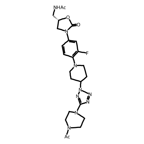 CC(=O)NC[C@H]1CN(c2ccc(N3CCC(n4nnc(N5CCN(C(C)=O)CC5)n4)CC3)c(F)c2)C(=O)O1